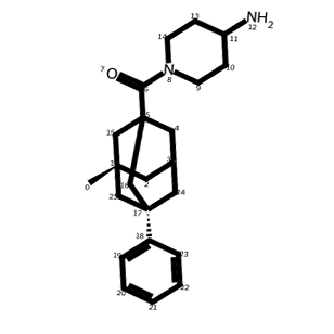 C[C@]12CC3CC(C(=O)N4CCC(N)CC4)(C1)C[C@@](c1ccccc1)(C3)C2